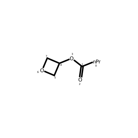 [CH2]CCC(=O)OC1COC1